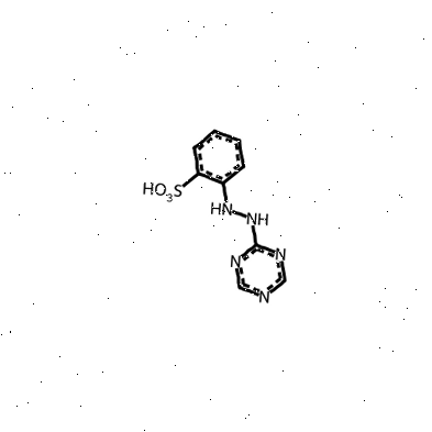 O=S(=O)(O)c1ccccc1NNc1ncncn1